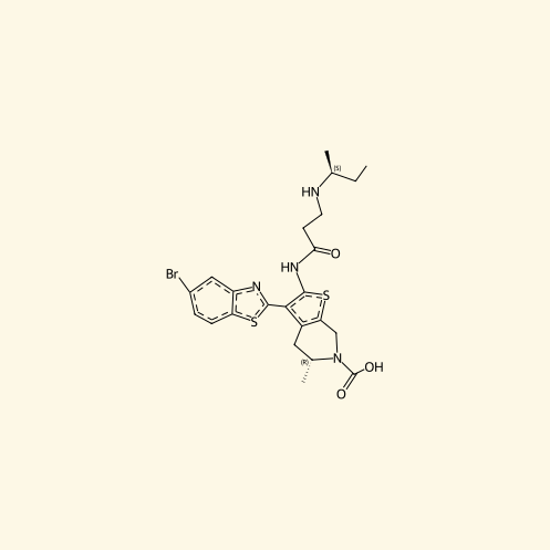 CC[C@H](C)NCCC(=O)Nc1sc2c(c1-c1nc3cc(Br)ccc3s1)C[C@@H](C)N(C(=O)O)C2